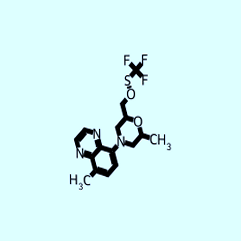 Cc1ccc(N2CC(C)OC(COSC(F)(F)F)C2)c2nccnc12